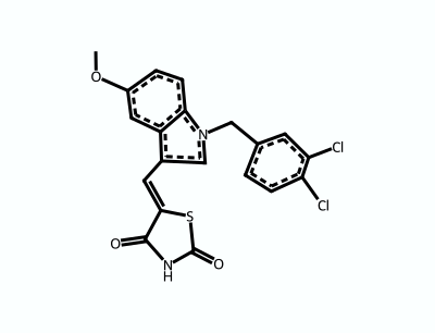 COc1ccc2c(c1)c(C=C1SC(=O)NC1=O)cn2Cc1ccc(Cl)c(Cl)c1